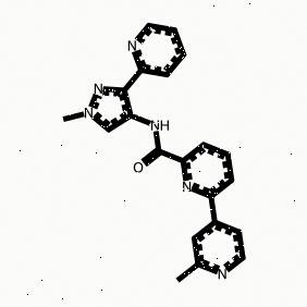 Cc1cc(-c2cccc(C(=O)Nc3cn(C)nc3-c3ccccn3)n2)ccn1